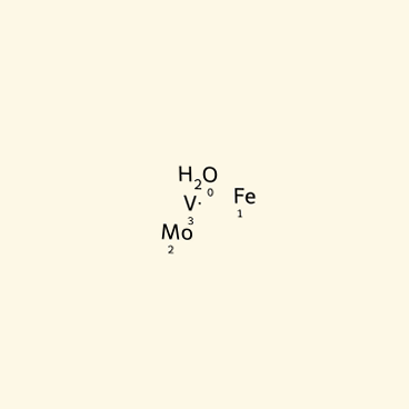 O.[Fe].[Mo].[V]